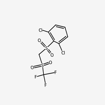 O=S(=O)(CS(=O)(=O)C(F)(F)F)c1c(Cl)cccc1Cl